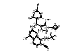 COC1=C([C@@H](Nc2cc(Cl)c3ncc(C#N)c(NCC(C)(C)C)c3c2)c2ccc(F)nc2C)NNN1C12CC(C1)C2